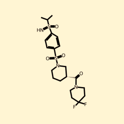 CC(C)S(=N)(=O)c1ccc(S(=O)(=O)N2CCC[C@@H](C(=O)N3CCC(F)(F)CC3)C2)cc1